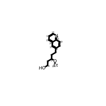 CCOC(CCO)CCc1ccc2ncccc2c1